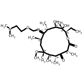 CC[C@H]1OC(=O)[C@H](C)C(=O)[C@H](C)[C@@H](C)[C@](C)(OC)C[C@@H](C)/C(=N\COCCN(C)C)[C@H](C)[C@@H](O)[C@]1(C)O